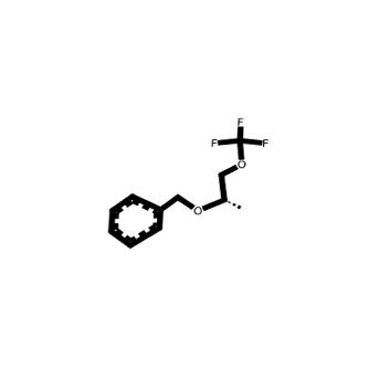 C[C@@H](COC(F)(F)F)OCc1ccccc1